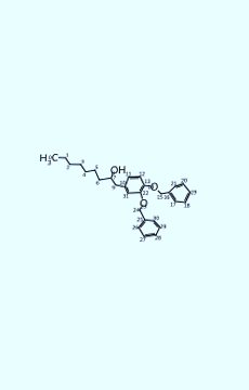 CCCCCCCC(O)Cc1ccc(OCc2ccccc2)c(OCc2ccccc2)c1